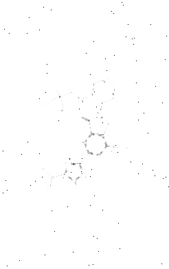 O=C1c2cc(-c3nnc(C(F)F)o3)cc(F)c2CN1[C@@H]1CCOC[C@H]1NCC(F)(F)F